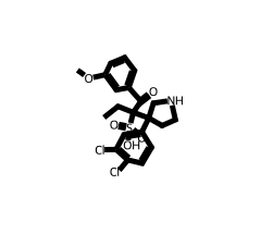 CCC(C(=O)c1cccc(OC)c1)(C1(c2ccc(Cl)c(Cl)c2)CCNC1)S(=O)(=O)O